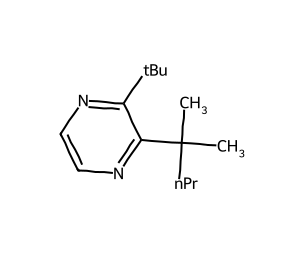 CCCC(C)(C)c1nccnc1C(C)(C)C